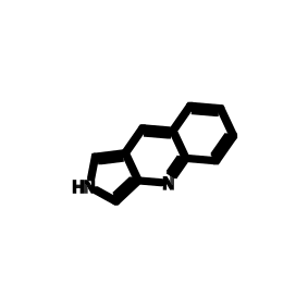 c1ccc2nc3c[nH]cc3cc2c1